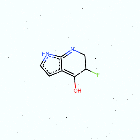 OC1=c2cc[nH]c2=NCC1F